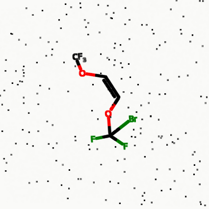 FC(F)(F)O/C=C\OC(F)(F)Br